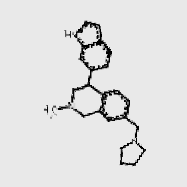 CN1Cc2cc(CN3CCCC3)ccc2C(c2ccc3cc[nH]c3c2)C1